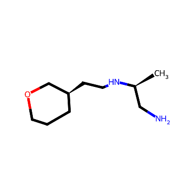 C[C@@H](CN)NCC[C@H]1CCCOC1